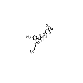 CCCCCC(=O)c1cc(C)ccc1NC(=O)Nc1nc(CN2C(=O)CNC2=O)cs1